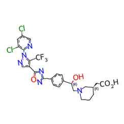 O=C(O)C[C@H]1CCCN(C[C@H](O)c2ccc(-c3noc(-c4cnn(-c5ncc(Cl)cc5Cl)c4C(F)(F)F)n3)cc2)C1